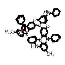 Cc1cc2c3c(c1)N(c1ccccc1)c1cc4c(cc1B3c1ccccc1N2)B1c2cc3c(cc2Oc2cc(Nc5ccccc5)cc(c21)O4)N(c1ccccc1)c1cc(C)cc2c1B3c1ccccc1O2